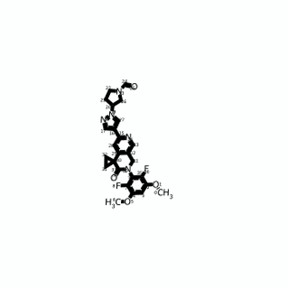 COc1cc(OC)c(F)c(N2Cc3cnc(-c4cnn(C5CCN(C=O)C5)c4)cc3C3(CC3)C2=O)c1F